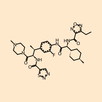 CCc1nonc1C(=O)N[C@H](C(=O)Nc1ccc([C@H](C)[C@@H](NC(=O)c2cnns2)C(=O)N2CCN(C)CC2)cc1F)[C@H]1CC[C@H](C)CC1